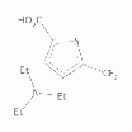 CCN(CC)CC.O=C(O)c1ccc(C(F)(F)F)s1